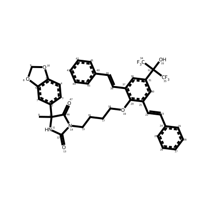 CC1(c2ccc3c(c2)OCO3)NC(=O)N(CCCCOc2c(C=Cc3ccccc3)cc(C(O)(C(F)(F)F)C(F)(F)F)cc2C=Cc2ccccc2)C1=O